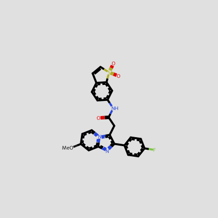 COc1ccn2c(CC(=O)Nc3ccc4c(c3)S(=O)(=O)C=C4)c(-c3ccc(F)cc3)nc2c1